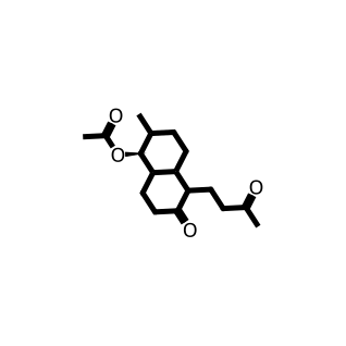 CC(=O)CCC1C(=O)CCC2C1CCC(C)[C@@H]2OC(C)=O